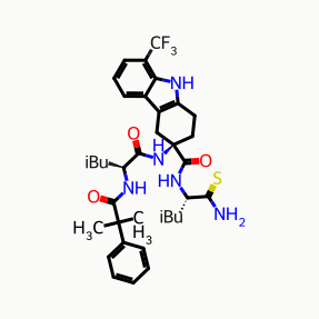 CCC(C)[C@H](NC(=O)C(C)(C)c1ccccc1)C(=O)N[C@]1(C(=O)N[C@H](C(N)=S)C(C)CC)CCc2[nH]c3c(C(F)(F)F)cccc3c2C1